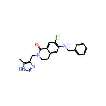 Cc1[nH]cnc1CN1CCc2cc(NCc3ccccc3)c(Cl)cc2C1=O